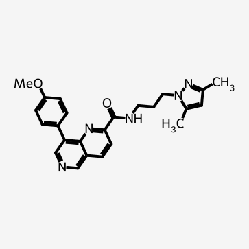 COc1ccc(-c2cncc3ccc(C(=O)NCCCn4nc(C)cc4C)nc23)cc1